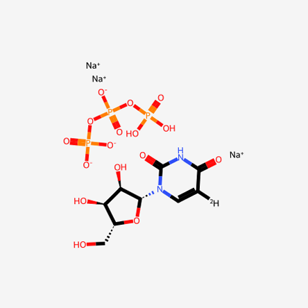 O=P([O-])([O-])OP(=O)([O-])OP(=O)(O)O.[2H]c1cn([C@@H]2O[C@H](CO)[C@@H](O)[C@H]2O)c(=O)[nH]c1=O.[Na+].[Na+].[Na+]